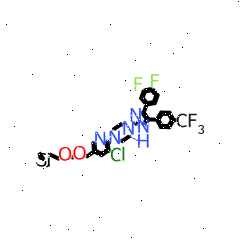 C[C@@H]1CN(c2ncc(COCOCC[Si](C)(C)C)cc2Cl)CCN1c1nc(-c2ccc(F)c(F)c2)c(-c2ccc(C(F)(F)F)cc2)[nH]1